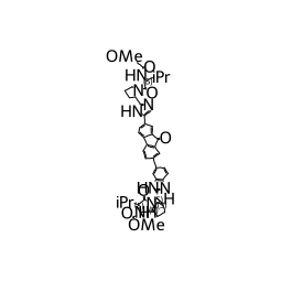 COCC(=O)N[C@H](C(=O)N1CCCC1c1ncc(-c2ccc3c(c2)C(=O)c2cc(-c4ccc5nc([C@@H]6[C@H]7CC[C@H](C7)N6C(=O)[C@@H](NC(=O)OC)C(C)C)[nH]c5c4)ccc2-3)[nH]1)C(C)C